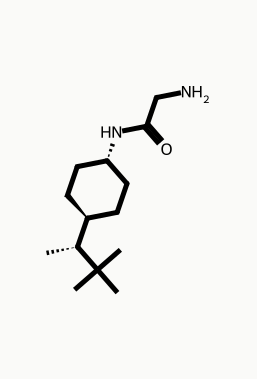 C[C@H]([C@H]1CC[C@H](NC(=O)CN)CC1)C(C)(C)C